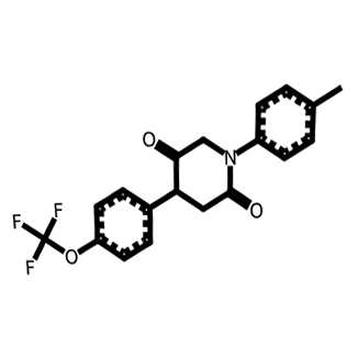 Cc1ccc(N2CC(=O)C(c3ccc(OC(F)(F)F)cc3)CC2=O)cc1